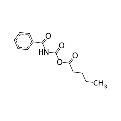 CCCCC(=O)OC(=O)NC(=O)c1ccccc1